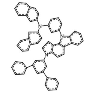 c1ccc(-c2cc(-c3ccccc3)cc(-n3ccc4c3ccc3c5ccccc5n(-c5cccc(N(c6ccc7ccccc7c6)c6ccc7ccccc7c6)c5)c34)c2)cc1